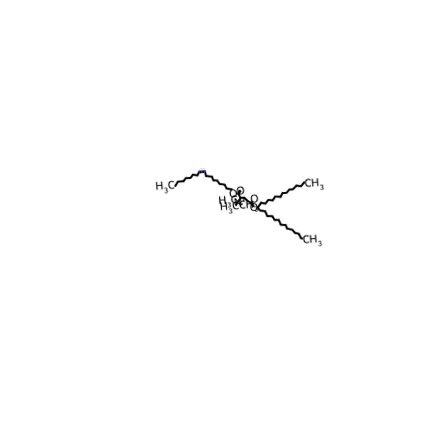 CCCCCCCC/C=C\CCCCCCCCOC(=O)C(CCC(=O)OC(CCCCCCCCCCCCCC)CCCCCCCCCCCCCC)[N+](C)(C)C